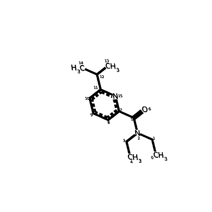 CCN(CC)C(=O)c1cccc(C(C)C)n1